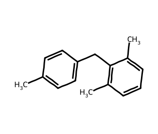 Cc1ccc(Cc2c(C)cccc2C)cc1